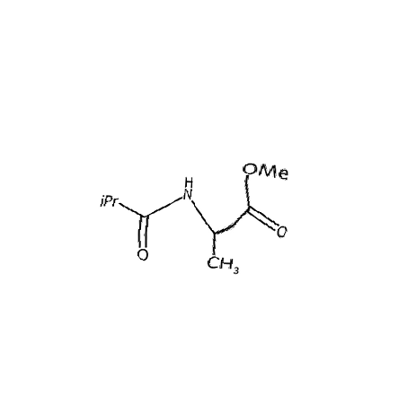 COC(=O)C(C)NC(=O)C(C)C